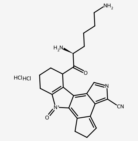 Cl.Cl.N#CC1=c2c(c3c(c4c2=CCC4)[N+](=O)C2=C3C(C(=O)[C@@H](N)CCCCN)CCC2)C=N1